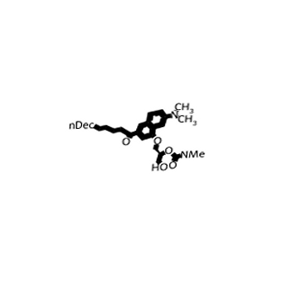 CCCCCCCCCCCCCCC(=O)c1cc(OC[C@H](CO)OC(=O)NC)c2cc(N(C)C)ccc2c1